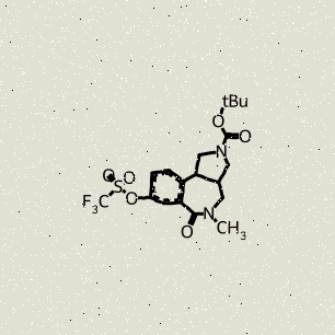 CN1CC2CN(C(=O)OC(C)(C)C)CC2c2ccc(OS(=O)(=O)C(F)(F)F)cc2C1=O